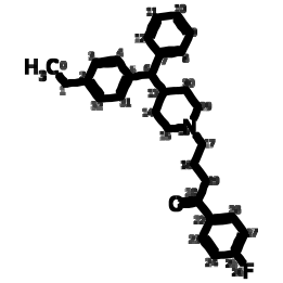 CCc1ccc(C(c2ccccc2)C2CCN(CCCC(=O)c3ccc(F)cc3)CC2)cc1